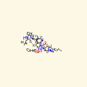 Cc1cc2cc(NC(=O)N3CCc4c(N5C[C@@H](C)N[C@@H](C)C5)ccnc43)ccn2n1.O=CO